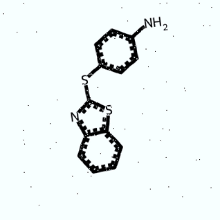 Nc1ccc(Sc2nc3ccccc3s2)cc1